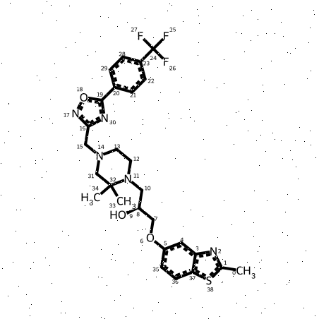 Cc1nc2cc(OC[C@@H](O)CN3CCN(Cc4noc(-c5ccc(C(F)(F)F)cc5)n4)CC3(C)C)ccc2s1